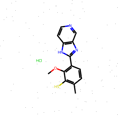 COc1c(-c2nc3cnccc3[nH]2)ccc(C)c1S.Cl